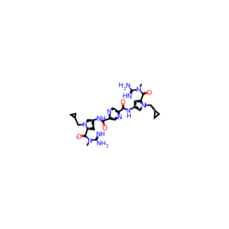 CN(C(=N)N)C(=O)c1cc(NC(=O)c2cnc(C(=O)Nc3cc(C(=O)N(C)C(=N)N)n(CC4CC4)c3)cn2)cn1CC1CC1